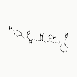 N#Cc1ccccc1OC[C@@H](O)CNCCNC(=O)Cc1ccc(F)cc1